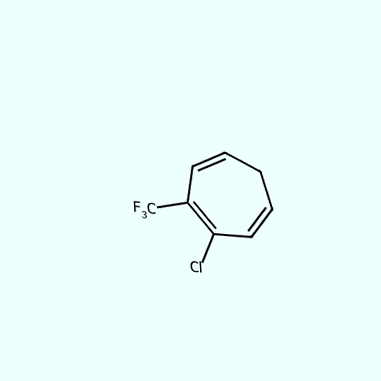 FC(F)(F)C1=C(Cl)C=CCC=C1